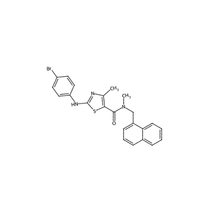 Cc1nc(Nc2ccc(Br)cc2)sc1C(=O)N(C)Cc1cccc2ccccc12